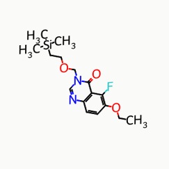 CCOc1ccc2ncn(COCC[Si](C)(C)C)c(=O)c2c1F